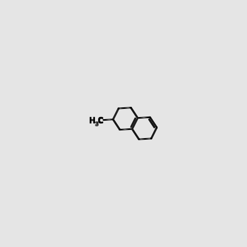 CC1CCC2=C(CCC=C2)C1